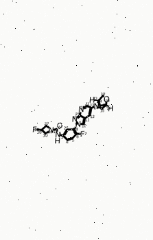 O=C(Nc1ccc(F)c(-n2cc3cc(N4C[C@@H]5C[C@H]4CO5)cnc3n2)c1)N1CC(F)C1